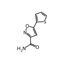 NC(=O)c1cc(-c2cccs2)on1